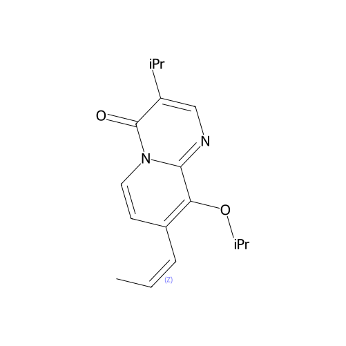 C/C=C\c1ccn2c(=O)c(C(C)C)cnc2c1OC(C)C